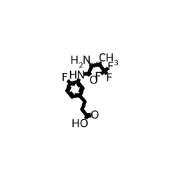 C[C@H]([C@@H](N)C(=O)Nc1cc(CCC(=O)O)ccc1F)C(F)(F)F